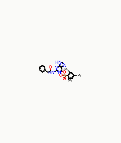 CC(C)c1cc(C(C)C)c(S(=O)(=O)Oc2nc(NC(=O)Cc3ccccc3)nc3[nH]cnc23)c(C(C)C)c1